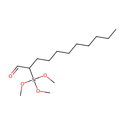 CCCCCCCCCC(C=O)[Si](OC)(OC)OC